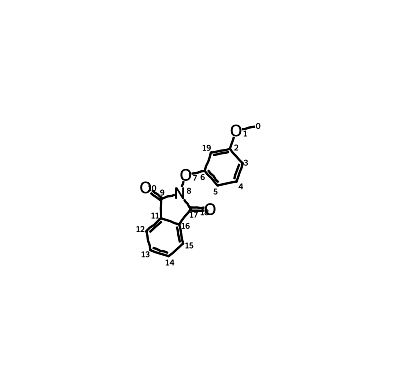 COc1cccc(ON2C(=O)c3ccccc3C2=O)c1